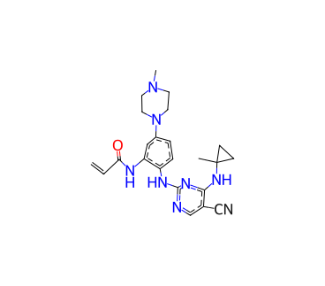 C=CC(=O)Nc1cc(N2CCN(C)CC2)ccc1Nc1ncc(C#N)c(NC2(C)CC2)n1